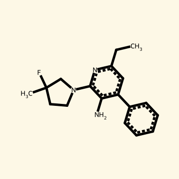 CCc1cc(-c2ccccc2)c(N)c(N2CCC(C)(F)C2)n1